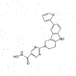 O=C(NO)c1cnc(N2CCc3[nH]c4ccc(-c5ccco5)cc4c3C2)nc1